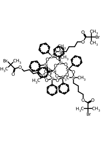 CC(C)(Br)C(=O)OCCCC[Si](C)(C)O[Si]1(c2ccccc2)O[Si]2(c3ccccc3)O[Si](O[Si](C)(C)CCCCOC(=O)C(C)(C)Br)(c3ccccc3)O[Si]3(c4ccccc4)O[Si](O[Si](C)(C)CCCCOC(=O)C(C)(C)Br)(c4ccccc4)O[Si](c4ccccc4)(O1)O[Si](c1ccccc1)(O2)O3